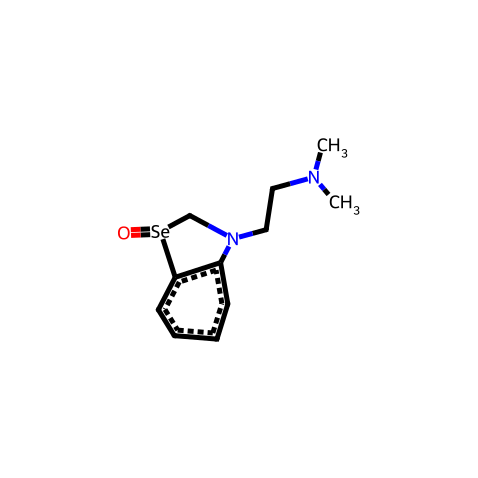 CN(C)CCN1C[Se](=O)c2ccccc21